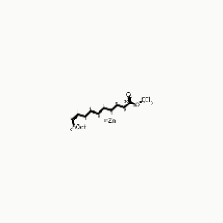 CCCCCCCC/C=C\CCCCCCCC(=O)OC(Cl)(Cl)Cl.[Zn]